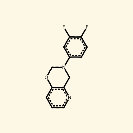 Fc1ccc(N2COc3cccnc3C2)cc1F